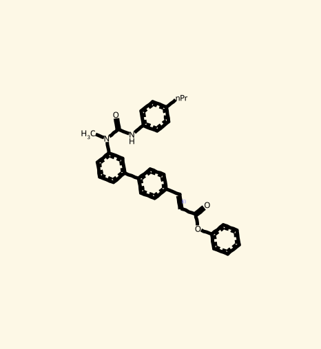 CCCc1ccc(NC(=O)N(C)c2cccc(-c3ccc(/C=C/C(=O)Oc4ccccc4)cc3)c2)cc1